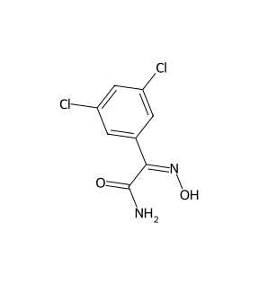 NC(=O)C(=NO)c1cc(Cl)cc(Cl)c1